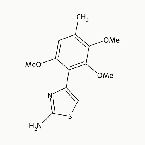 COc1cc(C)c(OC)c(OC)c1-c1csc(N)n1